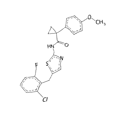 COc1ccc(C2(C(=O)Nc3ncc(Cc4c(F)cccc4Cl)s3)CC2)cc1